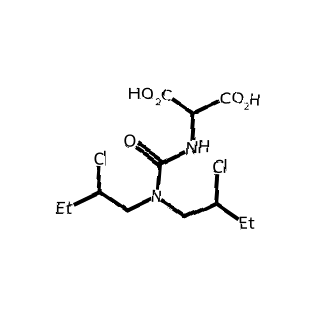 CCC(Cl)CN(CC(Cl)CC)C(=O)NC(C(=O)O)C(=O)O